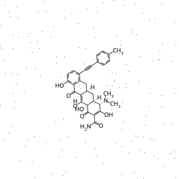 Cc1ccc(C#Cc2ccc(O)c3c2C[C@H]2C[C@H]4[C@H](N(C)C)C(O)=C(C(N)=O)C(=O)[C@@]4(O)C(O)=C2C3=O)cc1